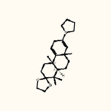 CC12C=C(N3CCCC3)CC=C1[C@@]1(C)CCC3(OCCO3)C(C)(C)[C@@H]1CC2